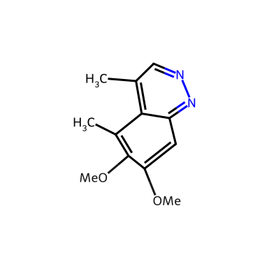 COc1cc2nncc(C)c2c(C)c1OC